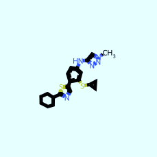 Cn1cc(Nc2ccc(-c3cnc(C4CCCCC4)s3)c(SC3CC3)c2)nn1